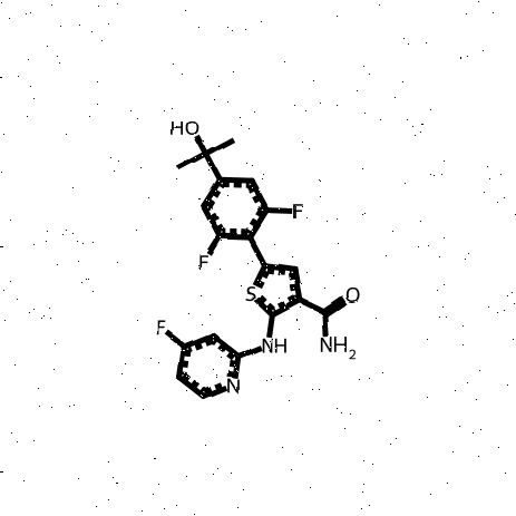 CC(C)(O)c1cc(F)c(-c2cc(C(N)=O)c(Nc3cc(F)ccn3)s2)c(F)c1